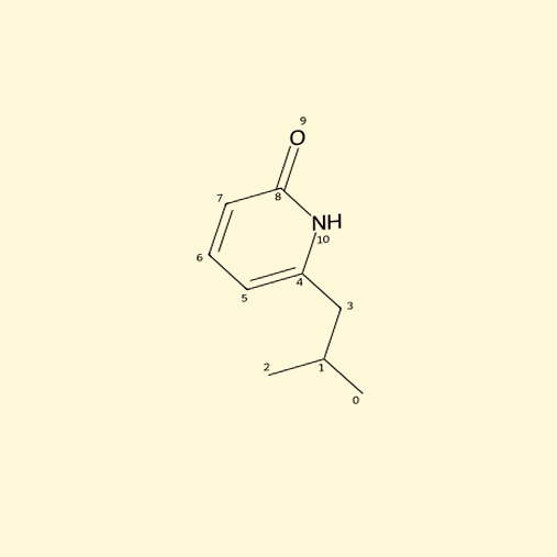 CC(C)Cc1cccc(=O)[nH]1